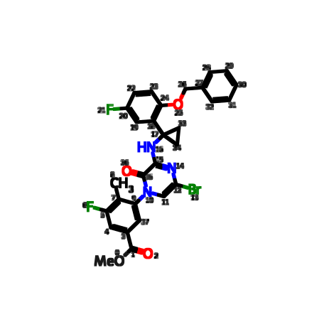 COC(=O)c1cc(F)c(C)c(-n2cc(Br)nc(NC3(c4cc(F)ccc4OCc4ccccc4)CC3)c2=O)c1